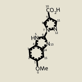 COc1ccc2[nH]c(-n3cc(C(=O)O)cn3)nc2c1